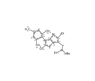 CCCCN(CC)Cc1c(CC)nc2n(-c3c(C)cc(C)cc3C)c(Cl)cn12